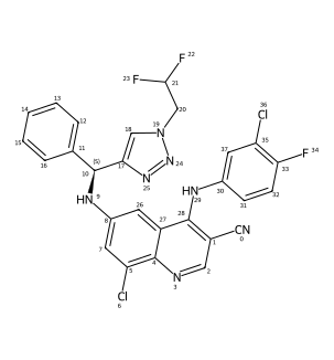 N#Cc1cnc2c(Cl)cc(N[C@@H](c3ccccc3)c3cn(CC(F)F)nn3)cc2c1Nc1ccc(F)c(Cl)c1